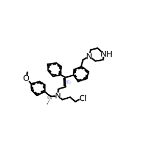 COc1ccc([C@@H](C)N(C/C=C(\c2ccccc2)c2cccc(CN3CCNCC3)c2)CCCCl)cc1